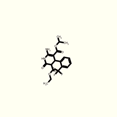 CCOC(=O)C1C(=O)NC(N)=C(C(=O)OC(C)C)C1c1ccccc1C(F)(F)F